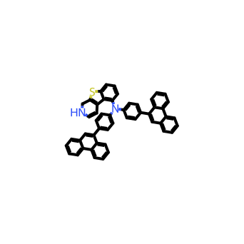 C1=Cc2c(sc3cccc(N(c4ccc(-c5cc6ccccc6c6ccccc56)cc4)c4ccc(-c5cc6ccccc6c6ccccc56)cc4)c23)CN1